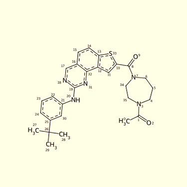 CC(=O)N1CCCN(C(=O)c2cc3c(ccc4cnc(Nc5cccc(C(C)(C)C)c5)nc43)s2)CC1